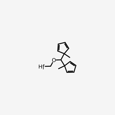 CC1(C(O[CH2][Hf])C2(C)C=CC=C2)C=CC=C1